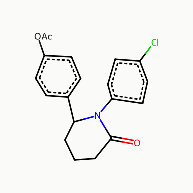 CC(=O)Oc1ccc(C2CCCC(=O)N2c2ccc(Cl)cc2)cc1